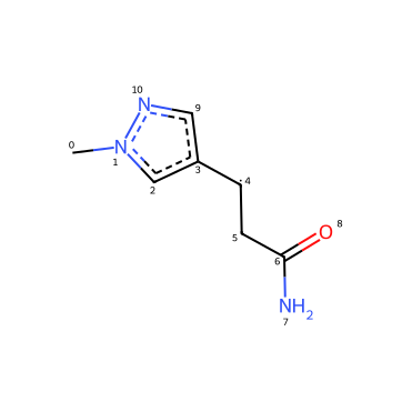 Cn1cc([CH]CC(N)=O)cn1